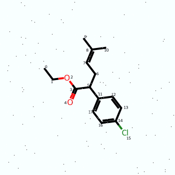 CCOC(=O)C(CC=C(C)C)c1ccc(Cl)cc1